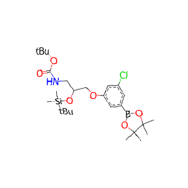 CC(C)(C)OC(=O)NCC(COc1cc(Cl)cc(B2OC(C)(C)C(C)(C)O2)c1)O[Si](C)(C)C(C)(C)C